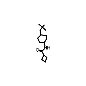 CC(C)(C)CC1CCC(NC(=O)C2CCC2)CC1